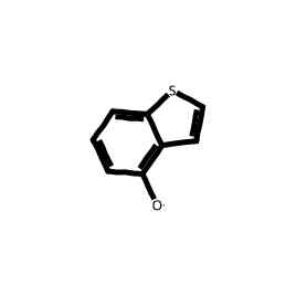 [O]c1cccc2sccc12